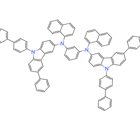 c1ccc(-c2ccc(-n3c4ccc(-c5ccccc5)cc4c4cc(N(c5cccc(N(c6ccc7c(c6)c6cc(-c8ccccc8)ccc6n7-c6ccc(-c7ccccc7)cc6)c6cccc7ccccc67)c5)c5cccc6ccccc56)ccc43)cc2)cc1